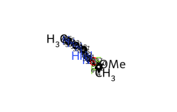 COc1cc(C)c(F)c(COc2cnc(Nc3cccc(N4CCC(N5CCN(C)CC5)CC4)c3)nc2)c1F